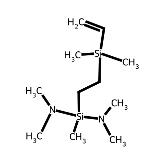 C=C[Si](C)(C)CC[Si](C)(N(C)C)N(C)C